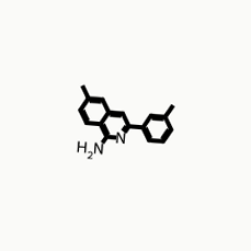 Cc1cccc(-c2cc3cc(C)ccc3c(N)n2)c1